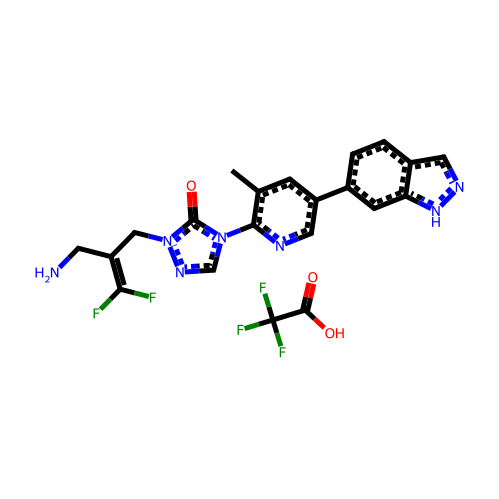 Cc1cc(-c2ccc3cn[nH]c3c2)cnc1-n1cnn(CC(CN)=C(F)F)c1=O.O=C(O)C(F)(F)F